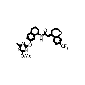 COc1nc(C)nc(Oc2ccc3c(c2)C(NC(=O)/C=C2\CCCOc4cc(C(F)(F)F)ccc42)CCC3)n1